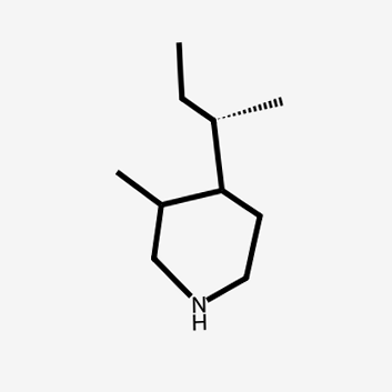 CC[C@H](C)C1CCNCC1C